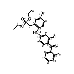 CCOP(=O)(Cc1cc(Br)ccc1Nc1ccc(C(=O)c2ccccc2C)c(Cl)c1)OCC